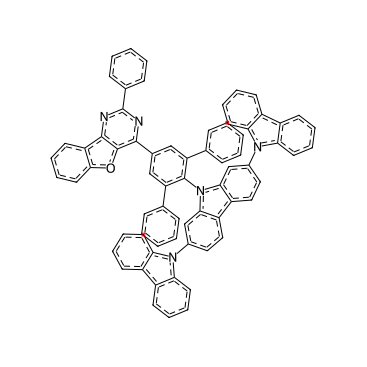 c1ccc(-c2nc(-c3cc(-c4ccccc4)c(-n4c5cc(-n6c7ccccc7c7ccccc76)ccc5c5ccc(-n6c7ccccc7c7ccccc76)cc54)c(-c4ccccc4)c3)c3oc4ccccc4c3n2)cc1